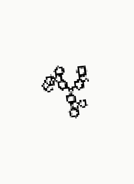 c1ccc2c(c1)-c1ccc(N(c3ccc4c(c3)-c3ccccc3C43C4CCC5CCC3CC(C5)C4)c3ccc4sc5ccccc5c4c3)cc1C21CCCC1